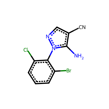 N#Cc1cnn(-c2c(Cl)cccc2Br)c1N